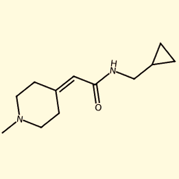 CN1CCC(=CC(=O)NCC2CC2)CC1